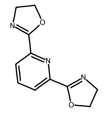 c1cc(C2=NCCO2)nc(C2=NCCO2)c1